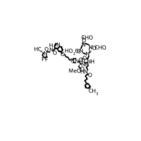 C#C[C@H]1CC(F)(F)CN1C(=O)CNC(=O)c1ccnc2ccc(OCCCCN3CCN(C(=O)[C@H](CC(=O)OC)NC(=O)[C@H](CCCNC(=O)CCCc4ccc(C)cc4)NC(=O)CN4CCN(COC=O)CCN(COC=O)CCN(CC(=O)O)CC4)CC3)cc12